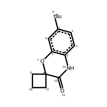 CC(C)(C)c1ccc2c(c1)OC1(CCC1)C(=O)N2